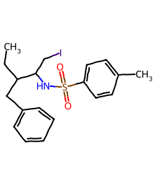 CCC(Cc1ccccc1)C(CI)NS(=O)(=O)c1ccc(C)cc1